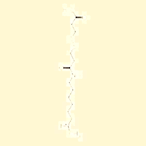 CNCCCCCCNC(=O)CCSSCCC(C)=O